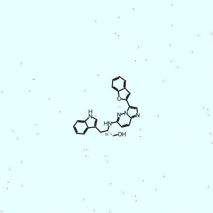 OC[C@H](Cc1c[nH]c2ccccc12)Nc1ccc2ncc(-c3cc4ccccc4o3)n2n1